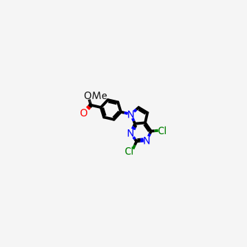 COC(=O)c1ccc(-n2ccc3c(Cl)nc(Cl)nc32)cc1